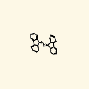 c1ccc2c(c1)C(=NN=C1c3ccccc3-c3ccccc31)c1ccccc1-2